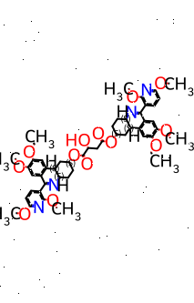 CCOc1cc2c(cc1OC)C(c1ccc(OC)nc1OC)=N[C@H]1CC[C@H](OC(=O)CC(O)C(=O)O[C@H]3CC[C@@H]4N=C(c5ccc(OC)nc5OC)c5cc(OC)c(OCC)cc5[C@@H]4C3)C[C@@H]21